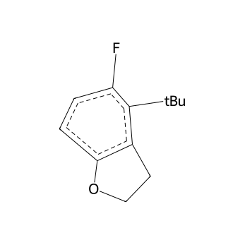 CC(C)(C)c1c(F)ccc2c1CCO2